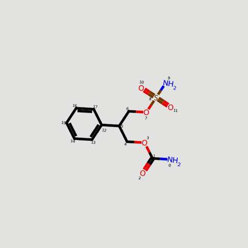 NC(=O)OCC(COS(N)(=O)=O)c1ccccc1